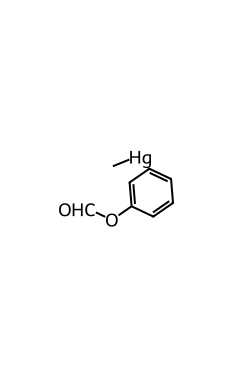 O=COc1ccccc1.[CH3][Hg]